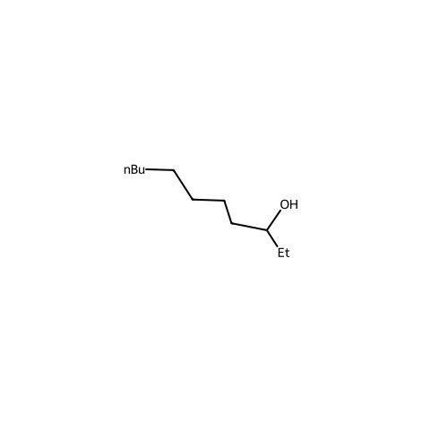 CCCCCCCCC(O)CC